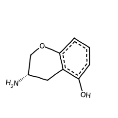 N[C@@H]1COc2cccc(O)c2C1